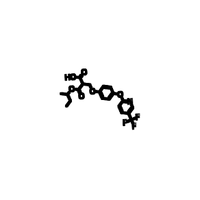 CCC(C)OC(=O)C(COc1ccc(Oc2ccc(C(F)(F)F)cn2)cc1)C(=O)O